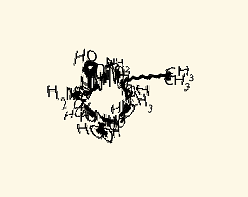 CC(C)CCCCCCCCCC1CC(=O)N[C@@H](CC(N)=O)C(=O)N[C@H](Cc2ccc(O)cc2)C(=O)N[C@H](CC(N)=O)C(=O)N[C@@H](CO)C(=O)N[C@@H](CCC(=O)O)C(=O)N[C@H](CO)C(=O)N[C@@H]([C@@H](C)O)C(=O)N1